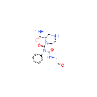 CNC(=O)C1CNCCN1C(=O)N(C(=O)NC[C]=O)c1ccccc1